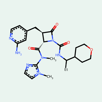 CCC(NC(=O)N1C(=O)[C@H](Cc2ccnc(N)c2)[C@H]1C(=O)N(C)c1nccn1C)C1CCOCC1